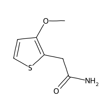 COc1ccsc1CC(N)=O